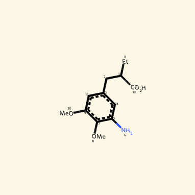 CCC(Cc1cc(N)c(OC)c(OC)c1)C(=O)O